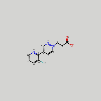 O=C([O-])CC[n+]1ccc(-c2ncccc2F)cn1